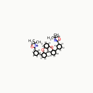 CC1(C)COC(c2cccc(-c3cccc4c3Oc3cccc5c3B4c3cccc(-c4cccc(C6=NC(C)(C)CO6)c4)c3O5)c2)=N1